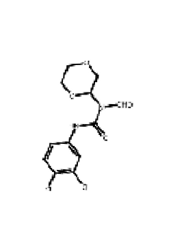 O=CN(C(=O)Nc1ccc(Cl)c(Cl)c1)C1COCCO1